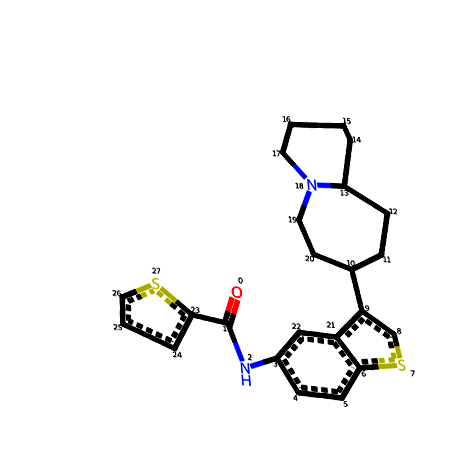 O=C(Nc1ccc2scc(C3CCC4CCCCN4CC3)c2c1)c1cccs1